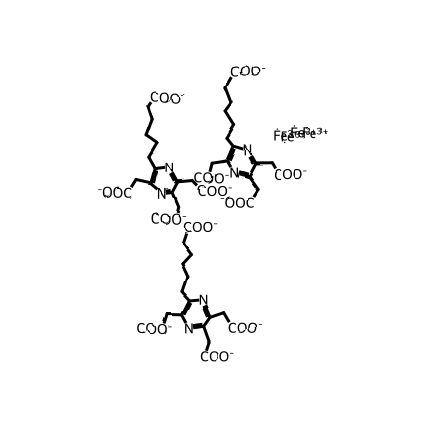 O=C([O-])CCCCCc1nc(CC(=O)[O-])c(CC(=O)[O-])nc1CC(=O)[O-].O=C([O-])CCCCCc1nc(CC(=O)[O-])c(CC(=O)[O-])nc1CC(=O)[O-].O=C([O-])CCCCCc1nc(CC(=O)[O-])c(CC(=O)[O-])nc1CC(=O)[O-].[Fe+3].[Fe+3].[Fe+3].[Fe+3]